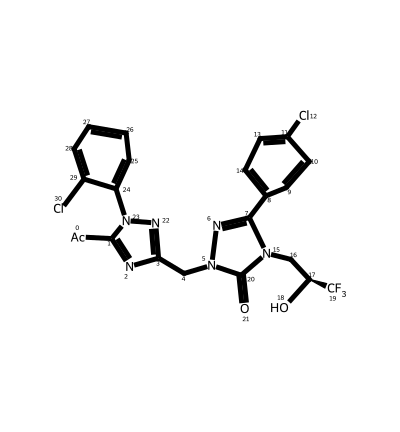 CC(=O)c1nc(Cn2nc(-c3ccc(Cl)cc3)n(C[C@H](O)C(F)(F)F)c2=O)nn1-c1ccccc1Cl